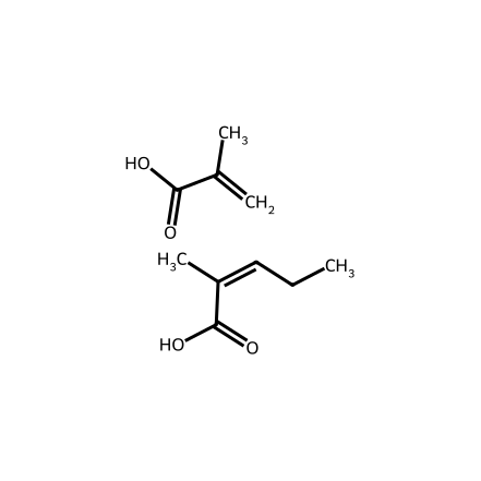 C=C(C)C(=O)O.CCC=C(C)C(=O)O